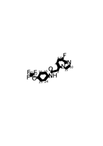 O=C(Cc1ccc(F)c2nccn12)Nc1ccc(OC(F)(F)F)cc1